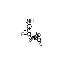 CCS(=O)(=O)c1ccc(Cl)cc1CNC(=O)c1ccc(CN2CCC[C@H](CNC)C2)c(C(F)(F)F)c1